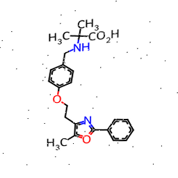 Cc1oc(-c2ccccc2)nc1CCOc1ccc(CNC(C)(C)C(=O)O)cc1